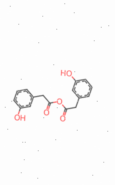 O=C(Cc1cccc(O)c1)OC(=O)Cc1cccc(O)c1